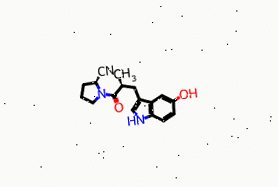 C[C@@H](Cc1c[nH]c2ccc(O)cc12)C(=O)N1CCC[C@H]1C#N